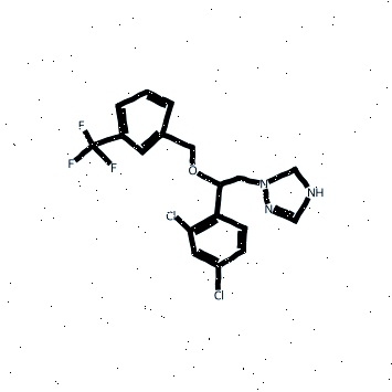 FC(F)(F)c1cccc(COC(CN2CNC=N2)c2ccc(Cl)cc2Cl)c1